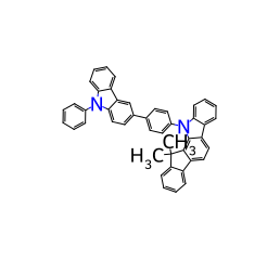 CC1(C)c2ccccc2-c2ccc3c4ccccc4n(-c4ccc(-c5ccc6c(c5)c5ccccc5n6-c5ccccc5)cc4)c3c21